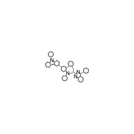 c1ccc(-c2nc(C3Cc4ccccc4-c4cc(-c5ccc6c(c5)c5ccccc5n6-c5ccccc5)ccc4N(c4ccccc4)C3)nc3ccccc23)cc1